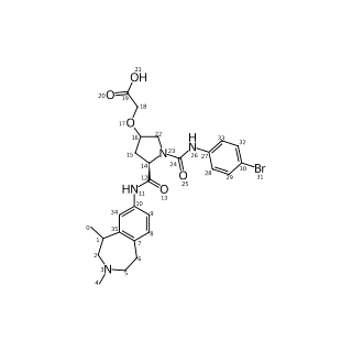 CC1CN(C)CCc2ccc(NC(=O)[C@H]3CC(OCC(=O)O)CN3C(=O)Nc3ccc(Br)cc3)cc21